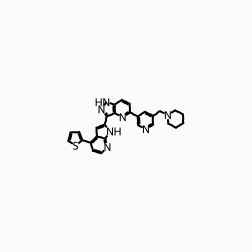 c1csc(-c2ccnc3[nH]c(-c4n[nH]c5ccc(-c6cncc(CN7CCCCC7)c6)nc45)cc23)c1